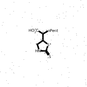 CCCCCC(C(=O)O)C1CNC(=S)S1